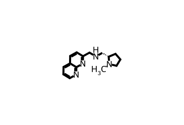 CN1CCC[C@H]1CNCc1ccc2cccnc2n1